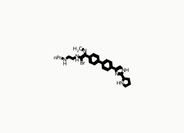 C=N/C(=C(/Br)NCCNCCC)c1ccc(-c2ccc(-c3c[nH]c(C4CCCN4)n3)cc2)cc1